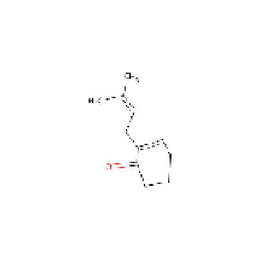 CC(C)=CCC1=CCCCC1=O